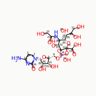 Nc1ccn([C@@H]2O[C@H](COP(=O)(O)O[C@@]3(C(=O)O)C[C@H](O)[C@@H](NC(=O)CO)[C@H]([C@H](O)[C@H](O)CO)O3)[C@@H](O)[C@H]2O)c(=O)n1